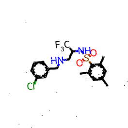 Cc1cc(C)c(S(=O)(=O)NC(CNCc2cccc(Cl)c2)C(F)(F)F)c(C)c1